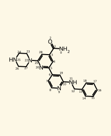 NC(=O)c1cc(-c2ccnc(NCc3ccccc3)c2)nc(N2CCNCC2)c1